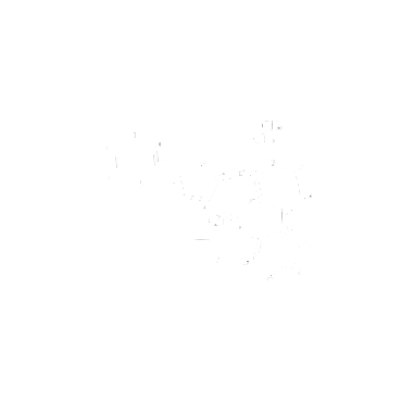 C[C](C)=[Zr+2]([C]1=CC(c2ccccc2)=CC1C)[CH]1c2ccccc2-c2ccccc21.[Cl-].[Cl-]